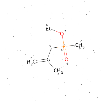 C=C(C)CP(C)(=O)OCC